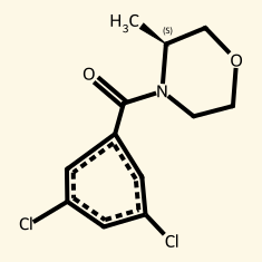 C[C@H]1COCCN1C(=O)c1cc(Cl)cc(Cl)c1